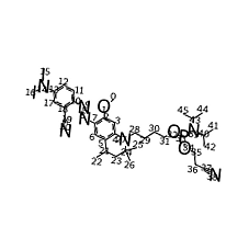 COc1cc2c(cc1/N=N/c1ccc(N(I)I)cc1C#N)C(C)CC(C)(C)N2CCCCOP(OCCC#N)N(C(C)C)C(C)C